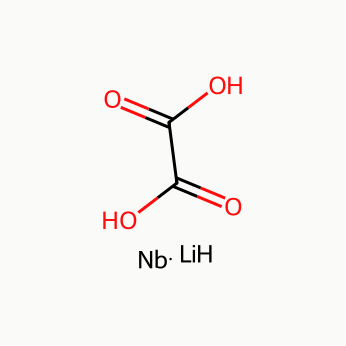 O=C(O)C(=O)O.[LiH].[Nb]